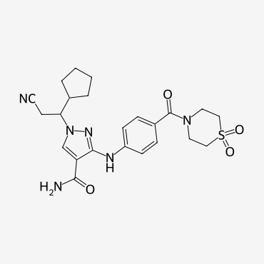 N#CCC(C1CCCC1)n1cc(C(N)=O)c(Nc2ccc(C(=O)N3CCS(=O)(=O)CC3)cc2)n1